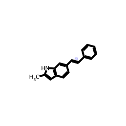 Cc1cc2ccc(/C=C/c3ccccc3)cc2[nH]1